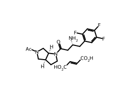 CC(=O)N1C[C@@H]2CCN(C(=O)C[C@H](N)Cc3cc(F)c(F)cc3F)[C@@H]2C1.O=C(O)C=CC(=O)O